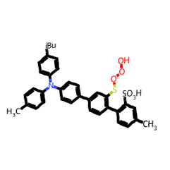 CCC(C)c1ccc(N(c2ccc(C)cc2)c2ccc(-c3ccc(-c4ccc(C)cc4S(=O)(=O)O)c(SOOO)c3)cc2)cc1